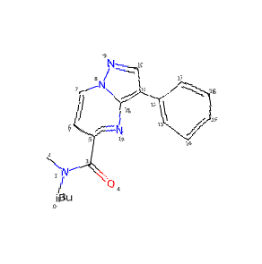 CCC(C)N(C)C(=O)c1ccn2ncc(-c3ccccc3)c2n1